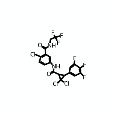 O=C(NCC(F)(F)F)c1cc(NC(=O)C2C(c3cc(F)c(F)c(F)c3)C2(Cl)Cl)ccc1Cl